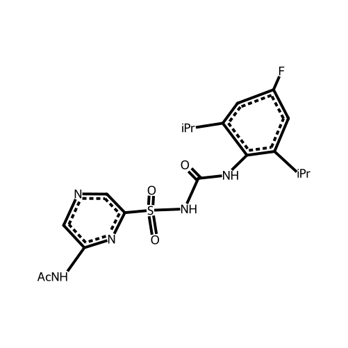 CC(=O)Nc1cncc(S(=O)(=O)NC(=O)Nc2c(C(C)C)cc(F)cc2C(C)C)n1